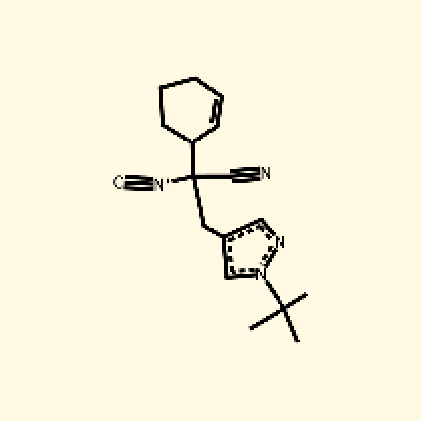 [C-]#[N+]C(C#N)(Cc1cnn(C(C)(C)C)c1)C1C=CCCC1